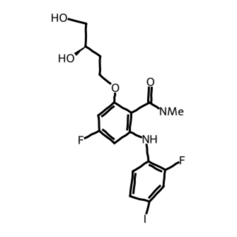 CNC(=O)c1c(Nc2ccc(I)cc2F)cc(F)cc1OCC[C@@H](O)CO